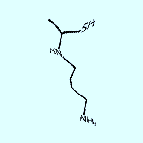 CC(S)NCCCN